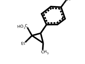 CCC1(C(=O)O)C(C)C1c1ccc(C(C)C)cc1